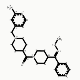 CO/N=C(/c1ccncc1)C1CCN(C(=O)C2CCN(Cc3ccnc(N)c3)CC2)CC1